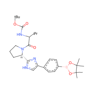 CC(C)C(NC(=O)OC(C)(C)C)C(=O)N1CCC[C@H]1c1nc(-c2ccc(B3OC(C)(C)C(C)(C)O3)cc2)c[nH]1